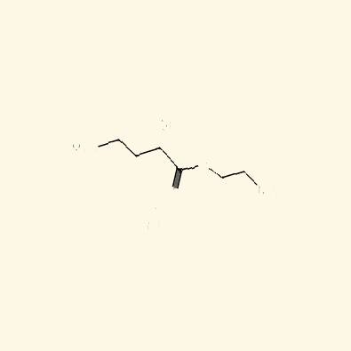 CSCC[C@H](N)C(=S)OCCN.Cl.Cl